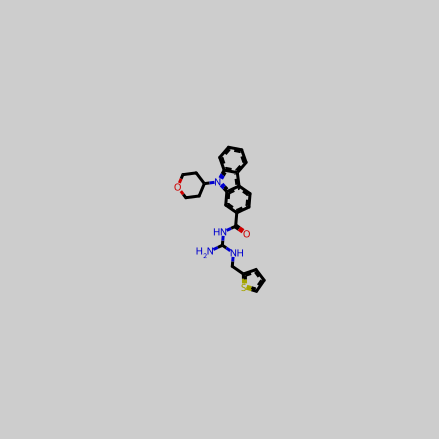 NC(NCc1cccs1)NC(=O)c1ccc2c3ccccc3n(C3CCOCC3)c2c1